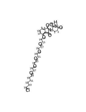 O=C1CCC(N2C(=O)c3cccc(OCCOCCOCCOCCOCCOCCCCCCCl)c3C2=O)C(=O)N1